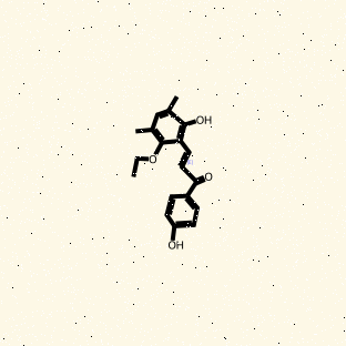 CCOc1c(C)cc(C)c(O)c1/C=C/C(=O)c1ccc(O)cc1